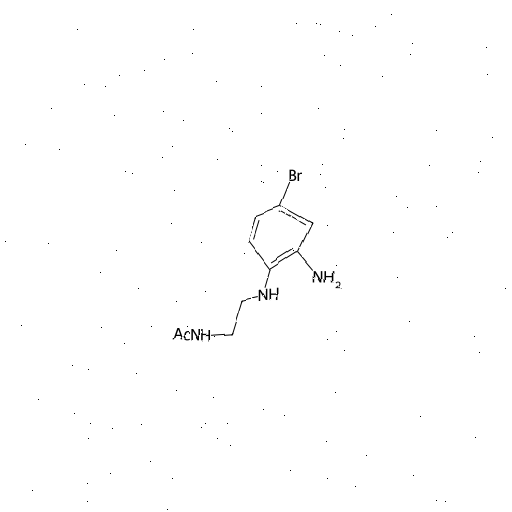 CC(=O)NCCNc1ccc(Br)cc1N